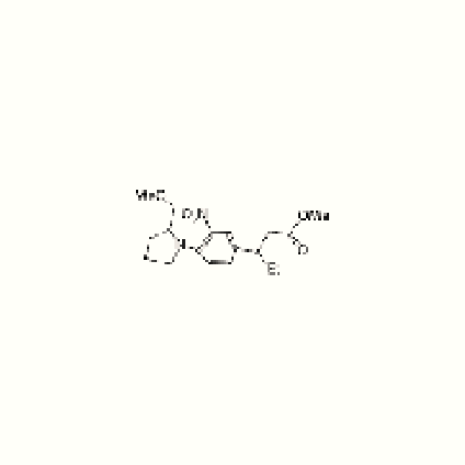 CCC(CC(=O)OC)c1ccc(N2CCCC2COC)c([N+](=O)[O-])c1